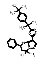 CC(C)(O)c1ccc(C(C)(C)c2nnc(-c3cnn4c3NC(c3ccccc3)CC4(C)C)o2)cc1